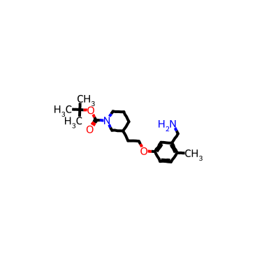 Cc1ccc(OCCC2CCCN(C(=O)OC(C)(C)C)C2)cc1CN